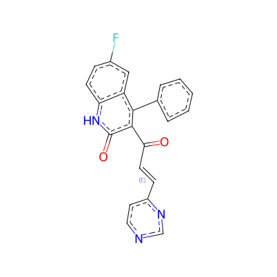 O=C(/C=C/c1ccncn1)c1c(-c2ccccc2)c2cc(F)ccc2[nH]c1=O